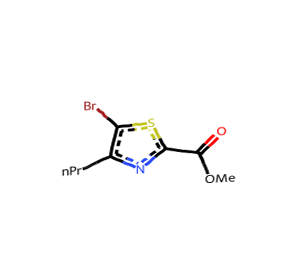 CCCc1nc(C(=O)OC)sc1Br